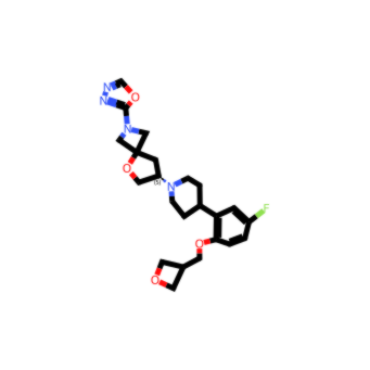 Fc1ccc(OCC2COC2)c(C2CCN([C@@H]3COC4(C3)CN(c3nnco3)C4)CC2)c1